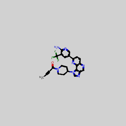 CC#CC(=O)N1CCC(n2cnc3cnc4ccc(-c5cnc(N)c(C(F)(F)F)c5)nc4c32)CC1